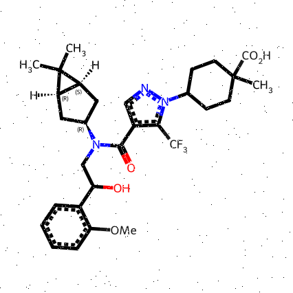 COc1ccccc1C(O)CN(C(=O)c1cnn(C2CCC(C)(C(=O)O)CC2)c1C(F)(F)F)[C@H]1C[C@@H]2[C@H](C1)C2(C)C